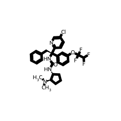 CN(C)[C@@H]1CCC[C@H]1NC(=O)N[C@@](Cc1ccccc1)(c1cccc(OC(F)(F)C(F)F)c1)c1ccc(Cl)cn1